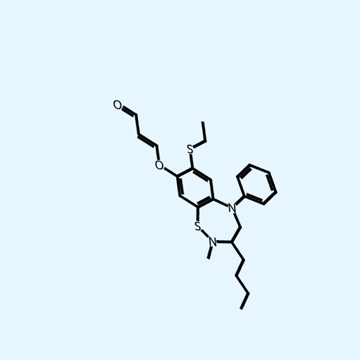 CCCCC1CN(c2ccccc2)c2cc(SCC)c(O/C=C/C=O)cc2SN1C